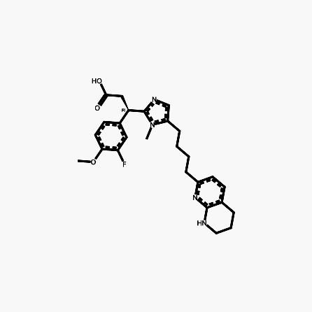 COc1ccc([C@@H](CC(=O)O)c2ncc(CCCCc3ccc4c(n3)NCCC4)n2C)cc1F